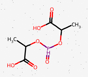 CC(O[PH](=O)OC(C)C(=O)O)C(=O)O